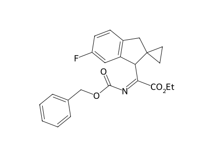 CCOC(=O)/C(=N/C(=O)OCc1ccccc1)C1c2cc(F)ccc2CC12CC2